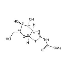 COC(=O)NC1=N[C@@H]2[C@@H](O)[C@H](O)[C@@H](CO)O[C@@H]2S1